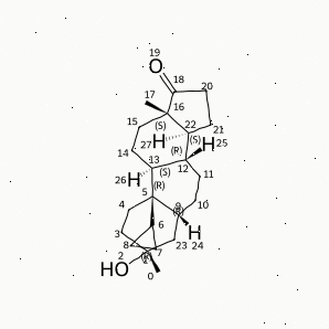 C[C@@]1(O)CC[C@@]2(C3CC3)[C@H](CC[C@@H]3[C@@H]2CC[C@]2(C)C(=O)CC[C@@H]32)C1